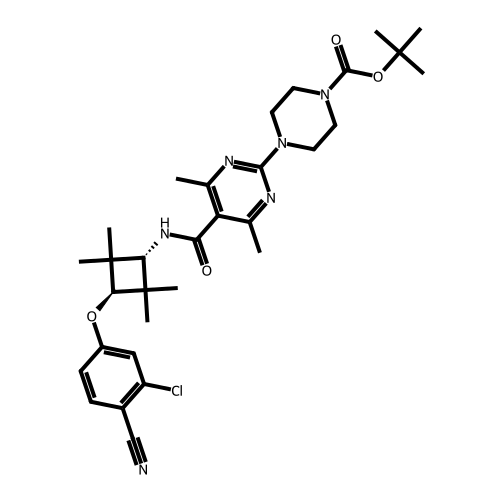 Cc1nc(N2CCN(C(=O)OC(C)(C)C)CC2)nc(C)c1C(=O)N[C@H]1C(C)(C)[C@H](Oc2ccc(C#N)c(Cl)c2)C1(C)C